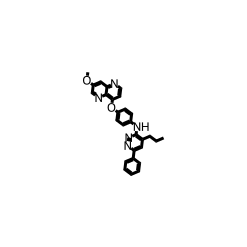 CCCc1cc(-c2ccccc2)nnc1Nc1ccc(Oc2ccnc3cc(OC)cnc23)cc1